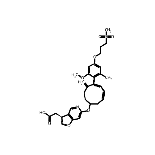 C=C1CCC(Oc2cc3c(cn2)[C@H](CC(=O)O)CO3)C/C=C\C=C/1c1c(C)cc(OCCCS(C)(=O)=O)cc1OC